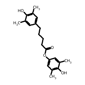 Cc1cc(CCCCC(=O)Oc2cc(C)c(O)c(C)c2)cc(C)c1O